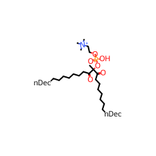 CCCCCCCCCCCCCCCCCC(=O)C(C)(OP(=O)(O)OCC[N+](C)(C)C)C(=O)CCCCCCCCCCCCCCCCC